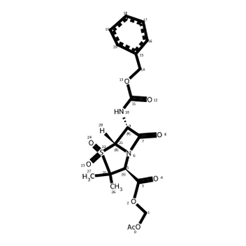 CC(=O)OCOC(=O)[C@@H]1N2C(=O)[C@@H](NC(=O)OCc3ccccc3)[C@H]2S(=O)(=O)C1(C)C